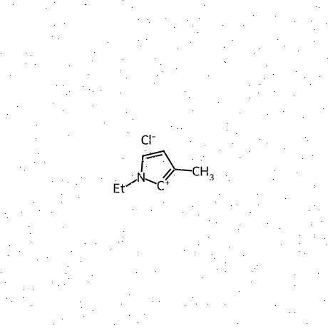 CCN1[C+]=C(C)C=C1.[Cl-]